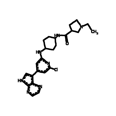 CCN1CCC(C(=O)NC2CCC(Nc3cc(-c4c[nH]c5nccnc45)cc(Cl)n3)CC2)C1